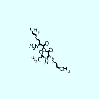 C=CCSC[C@H](NC(C)=O)C(=O)OC(=O)[C@@H](N)CSC=CC